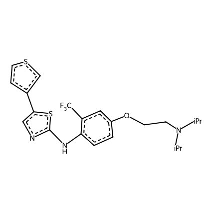 CC(C)N(CCOc1ccc(Nc2ncc(-c3ccsc3)s2)c(C(F)(F)F)c1)C(C)C